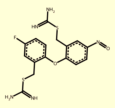 N=C(N)SCc1cc(F)ccc1Oc1ccc(N=O)cc1CSC(=N)N